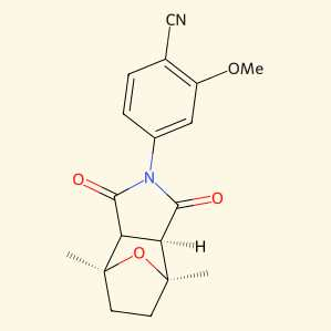 COc1cc(N2C(=O)C3[C@@H](C2=O)[C@@]2(C)CC[C@]3(C)O2)ccc1C#N